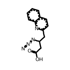 [N-]=[N+]=NC(CC(=O)O)Cc1ccc2ccccc2n1